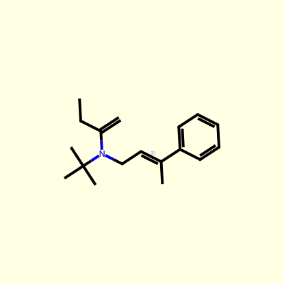 C=C(CC)N(C/C=C(\C)c1ccccc1)C(C)(C)C